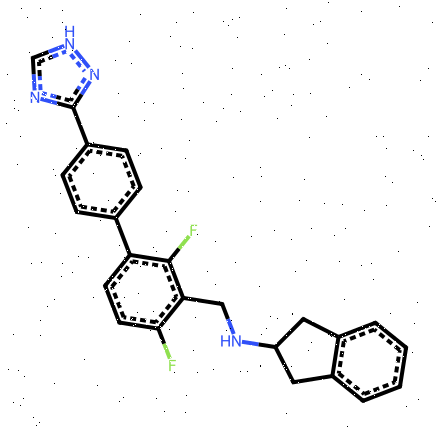 Fc1ccc(-c2ccc(-c3nc[nH]n3)cc2)c(F)c1CNC1Cc2ccccc2C1